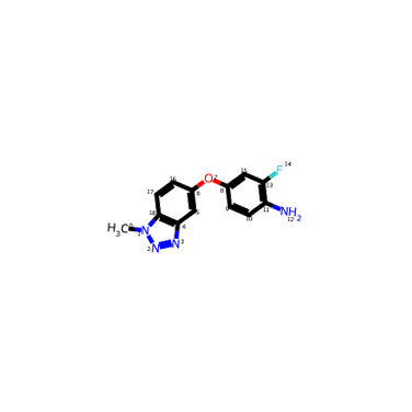 Cn1nnc2cc(Oc3ccc(N)c(F)c3)ccc21